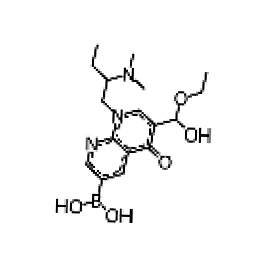 CCOC(O)c1cn(CC(CC)N(C)C)c2ncc(B(O)O)cc2c1=O